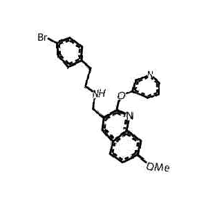 COc1ccc2cc(CNCCc3ccc(Br)cc3)c(Oc3cccnc3)nc2c1